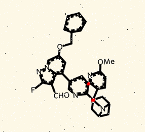 COc1ccc(CN2C3CC2CN(c2ccc(-c4cc(OCc5ccccc5)cn5nc(F)c(C=O)c45)cn2)C3)cn1